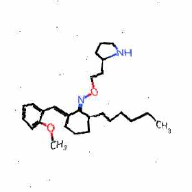 CCCCCC[C@H]1CCCC(=C\c2ccccc2OC)/C1=N/OCC[C@H]1CCCN1